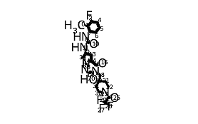 Cc1c(F)cccc1NC(=O)Nc1cc2c(=O)n(CC3(O)CCN(C(=O)C(F)(F)F)CC3)cnn2c1